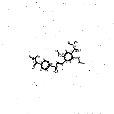 CCCc1cc(C=CC(=O)c2ccc(C(=O)N(C)C)cc2)c(OC)cc1C(=O)N(C)C